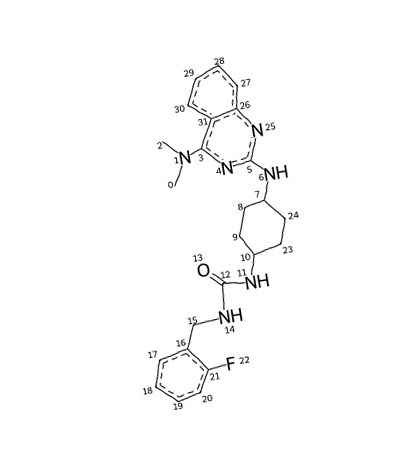 CN(C)c1nc(NC2CCC(NC(=O)NCc3ccccc3F)CC2)nc2ccccc12